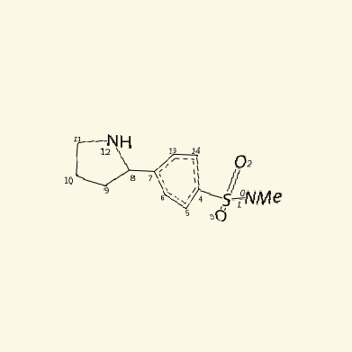 CNS(=O)(=O)c1ccc(C2CCCN2)cc1